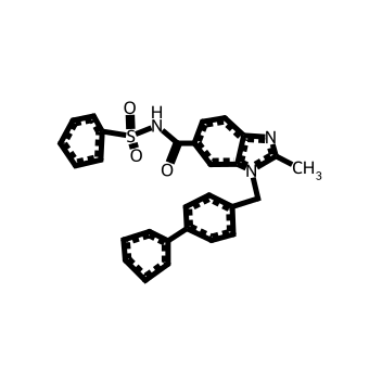 Cc1nc2ccc(C(=O)NS(=O)(=O)c3ccccc3)cc2n1Cc1ccc(-c2ccccc2)cc1